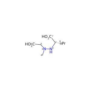 CCC[C@H](NN(C)CC(=O)O)C(=O)O